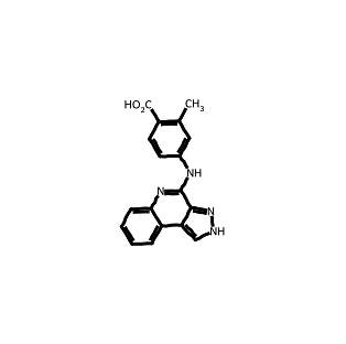 Cc1cc(Nc2nc3ccccc3c3c[nH]nc23)ccc1C(=O)O